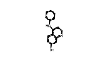 Oc1ccc2c(Nc3ccccc3)ccnc2c1